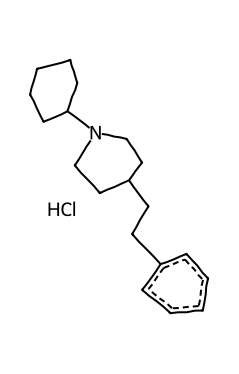 Cl.c1ccc(CCC2CCN(C3CCCCC3)CC2)cc1